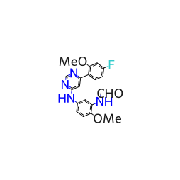 COc1ccc(Nc2cc(-c3ccc(F)cc3OC)ncn2)cc1NC=O